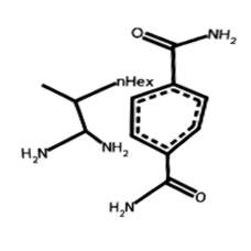 CCCCCCC(C)C(N)N.NC(=O)c1ccc(C(N)=O)cc1